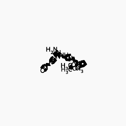 CC(C)(C)OC(=O)N(CCCN1CCC(CNc2nc(N)cc(N3CCN(CCN4CCOCC4)CC3)n2)CC1)C1CCCCC1